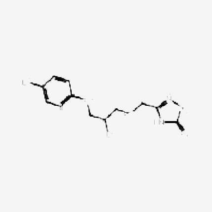 CCc1ccc(OCC(CC)CSCc2n[nH]c(=S)[nH]2)cc1